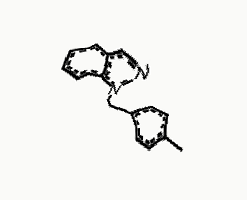 Cc1ccc(Cn2ncc3ccccc32)cc1